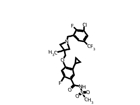 CC1(COc2cc(F)c(C(=O)NS(C)(=O)=O)cc2C2CC2)CN(Cc2cc(C(F)(F)F)cc(Cl)c2F)C1